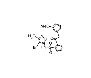 COc1cccc(CC(=O)c2sccc2S(=O)(=O)Nc2onc(C)c2Br)c1